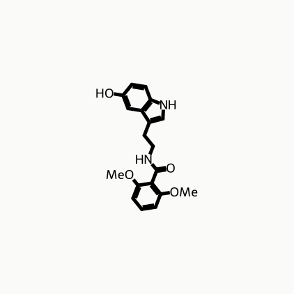 COc1cccc(OC)c1C(=O)NCCc1c[nH]c2ccc(O)cc12